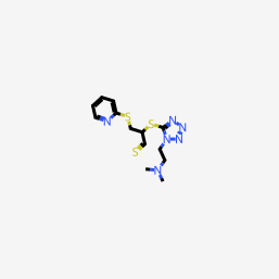 CN(C)CCn1nnnc1SC(C=S)CSc1ccccn1